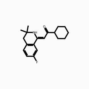 CC1(C)Cc2ccc(F)cc2/C(=C/C(=O)C2CCCCC2)N1